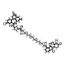 O=C1CCC(N2C(=O)c3cccc(NCCOCCOCCOCCOCCNC(=O)N4CCC(NC5=Nc6cc(F)ccc6N(CC(F)F)c6ccc(Cl)cc65)C4)c3C2=O)C(=O)N1